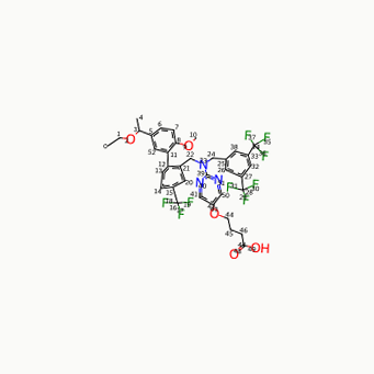 CCOC(C)c1ccc(OC)c(-c2ccc(C(F)(F)F)cc2CN(Cc2cc(C(F)(F)F)cc(C(F)(F)F)c2)c2ncc(OCCCC(=O)O)cn2)c1